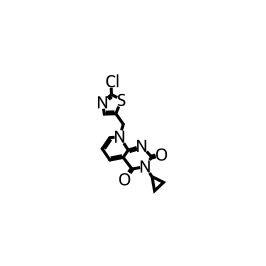 O=c1nc2n(Cc3cnc(Cl)s3)cccc-2c(=O)n1C1CC1